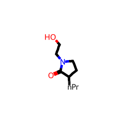 CCCC1CCN(CCO)C1=O